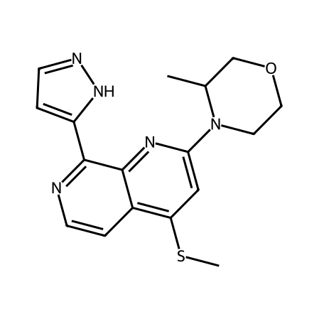 CSc1cc(N2CCOCC2C)nc2c(-c3ccn[nH]3)nccc12